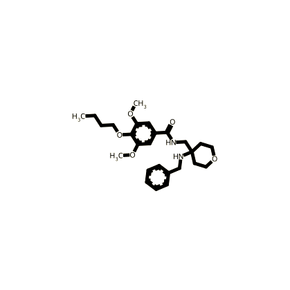 CCCCOc1c(OC)cc(C(=O)NCC2(NCc3ccccc3)CCOCC2)cc1OC